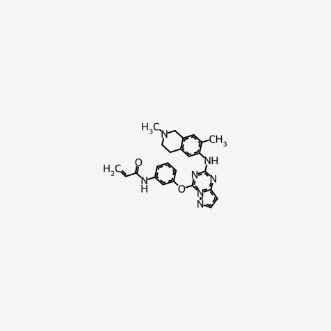 C=CC(=O)Nc1cccc(Oc2nc(Nc3cc4c(cc3C)CN(C)CC4)nc3ccnn23)c1